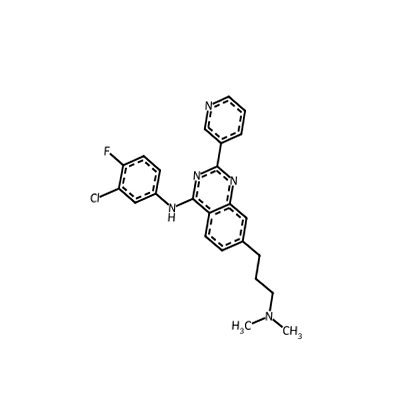 CN(C)CCCc1ccc2c(Nc3ccc(F)c(Cl)c3)nc(-c3cccnc3)nc2c1